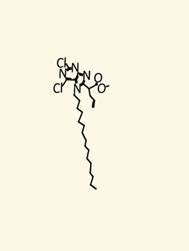 C=CCC(C(=O)OC)c1nc2nc(Cl)nc(Cl)c2n1CCCCCCCCCCCCCCCC